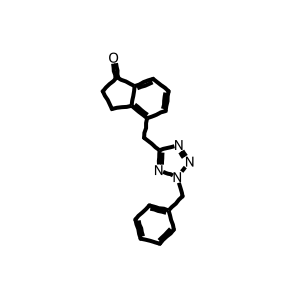 O=C1CCc2c(Cc3nnn(Cc4ccccc4)n3)cccc21